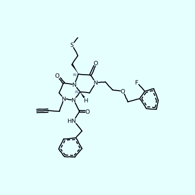 C#CCN1CC(=O)N2[C@@H](CCSC)C(=O)N(CCOCc3ccccc3F)C[C@@H]2N1C(=O)NCc1ccccc1